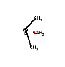 CCCCCCCCCCCCCCCCCC(=O)OC(=O)OC(=O)CCCCCCCCCCCCCCCCC.[CaH2].[CaH2]